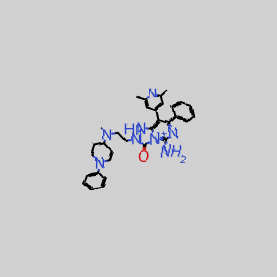 Cc1cc(-c2c(-c3ccccc3)nc(N)[n+]3c(=O)n(CCN(C)C4CCN(c5ccccc5)CC4)[nH]c23)cc(C)n1